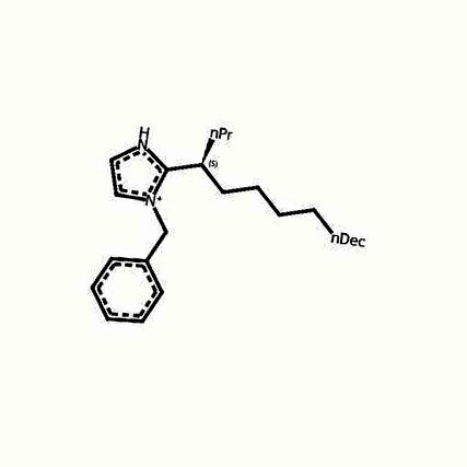 CCCCCCCCCCCCCC[C@H](CCC)c1[nH]cc[n+]1Cc1ccccc1